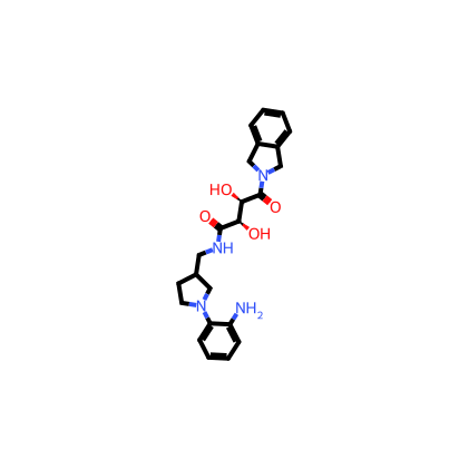 Nc1ccccc1N1CCC(CNC(=O)[C@H](O)[C@@H](O)C(=O)N2Cc3ccccc3C2)C1